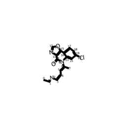 C/C=N/C=C\C=C(/C)n1c(=O)c2ncoc2c2ccc(Cl)cc21